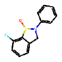 [O-][S+]1c2c(F)cccc2CN1c1ccccc1